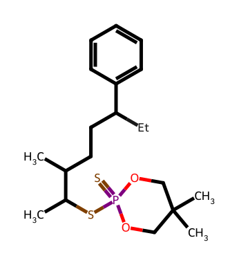 CCC(CCC(C)C(C)SP1(=S)OCC(C)(C)CO1)c1ccccc1